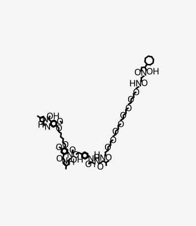 COc1cc2c(cc1OCCCCCOc1cc3c(cc1OC)C(=O)N1C=C(C)C[C@H]1[C@H](O)N3C(=O)OCc1ccc(NC(=O)[C@H](C)NC(=O)[C@@H](NC(=O)CCOCCOCCOCCOCCOCCOCCOCCOCCNC(=O)CCN3C(=O)CC(C4CCCCCCC4)C3O)C(C)C)cc1)N=C[C@@H]1CC(C)=CN1C2O